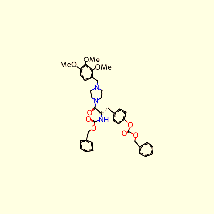 COc1ccc(CN2CCN(C(=O)[C@H](Cc3ccc(OC(=O)OCc4ccccc4)cc3)NC(=O)OCc3ccccc3)CC2)c(OC)c1OC